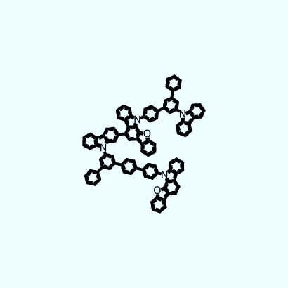 c1ccc(-c2cc(-c3ccc(-n4c5ccccc5c5c(-c6ccc7c8ccccc8n(-c8cc(-c9ccccc9)cc(-c9ccc(-c%10ccc(-n%11c%12ccccc%12c%12ccc%13c%14ccccc%14oc%13c%12%11)cc%10)cc9)c8)c7c6)cc6c7ccccc7oc6c54)cc3)cc(-n3c4ccccc4c4ccccc43)c2)cc1